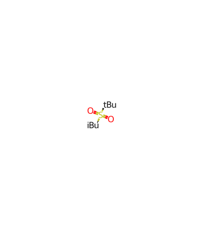 CC[C@H](C)S(=O)(=O)C(C)(C)C